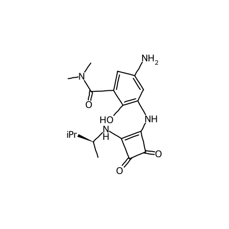 CC(C)[C@H](C)Nc1c(Nc2cc(N)cc(C(=O)N(C)C)c2O)c(=O)c1=O